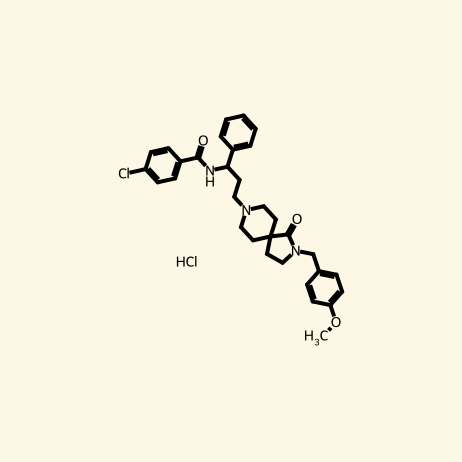 COc1ccc(CN2CCC3(CCN(CCC(NC(=O)c4ccc(Cl)cc4)c4ccccc4)CC3)C2=O)cc1.Cl